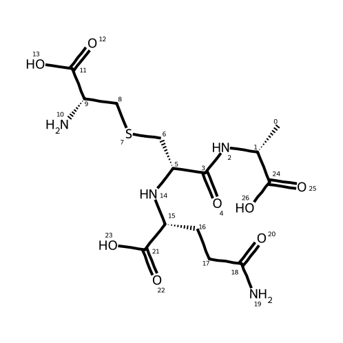 C[C@@H](NC(=O)[C@@H](CSC[C@H](N)C(=O)O)N[C@H](CCC(N)=O)C(=O)O)C(=O)O